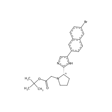 CC(C)(C)OC(=O)CN1CCC[C@H]1c1ncc(-c2ccc3cc(Br)ccc3c2)[nH]1